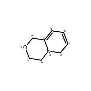 C1=CCN2CCOCC2=C1